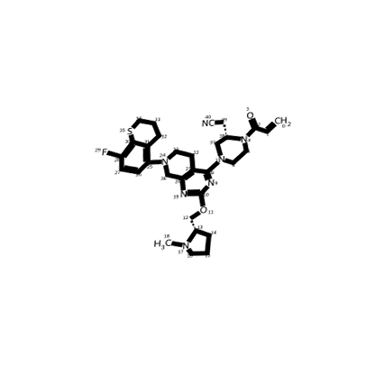 C=CC(=O)N1CCN(c2nc(OC[C@@H]3CCCN3C)nc3c2CCN(c2ccc(F)c4c2CCCS4)C3)C[C@@H]1CC#N